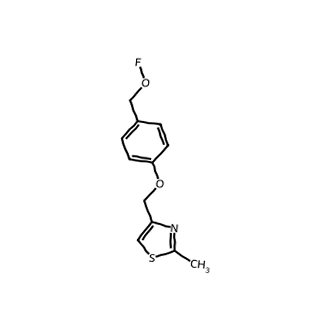 Cc1nc(COc2ccc(COF)cc2)cs1